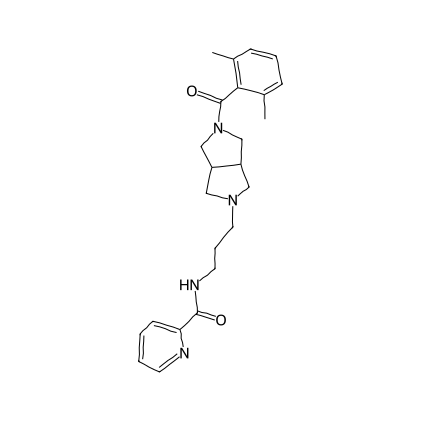 Cc1cccc(C)c1C(=O)N1CC2CN(CCCNC(=O)c3ccccn3)CC2C1